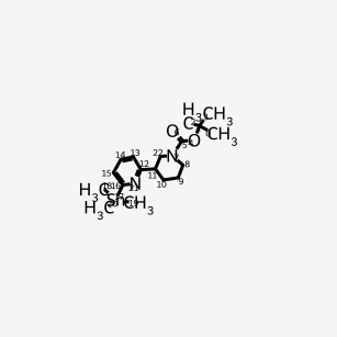 CC(C)(C)OC(=O)N1CCCC(c2ccc[c]([Sn]([CH3])([CH3])[CH3])n2)C1